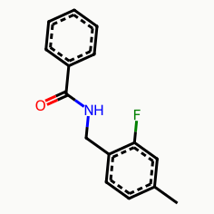 Cc1ccc(CNC(=O)c2ccccc2)c(F)c1